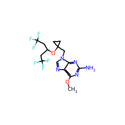 COc1nc(N)nc2c1ncn2CC1(O[C](CC(F)(F)F)CC(F)(F)F)CC1